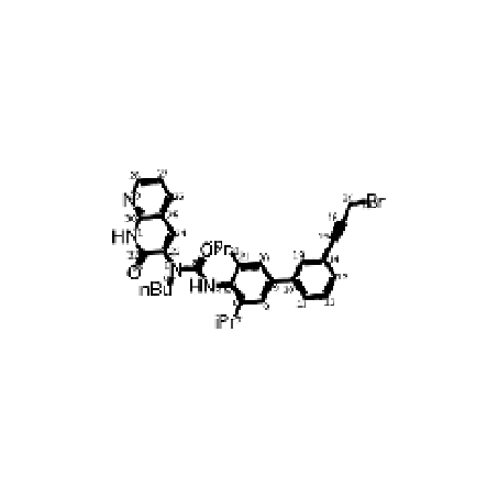 CCCCN(C(=O)Nc1c(C(C)C)cc(-c2cccc(C#CCBr)c2)cc1C(C)C)c1cc2cccnc2[nH]c1=O